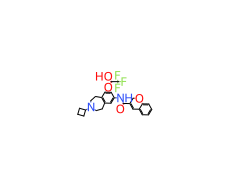 O=C(Nc1ccc2c(c1)CCN(C1CCC1)CC2)C1=Cc2ccccc2OC1.O=C(O)C(F)(F)F